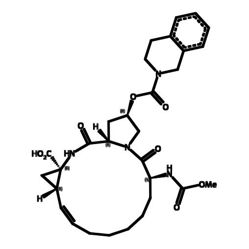 COC(=O)N[C@H]1CCCCCC=C[C@@H]2C[C@@]2(C(=O)O)NC(=O)[C@@H]2C[C@@H](OC(=O)N3CCc4ccccc4C3)CN2C1=O